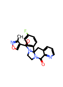 Cc1nocc1C(=O)N1CCN2C(=O)c3ncccc3CC12c1ccc(F)cc1